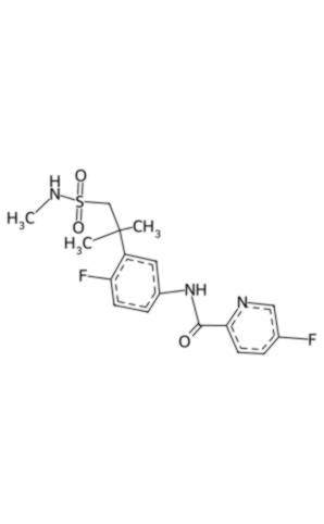 CNS(=O)(=O)CC(C)(C)c1cc(NC(=O)c2ccc(F)cn2)ccc1F